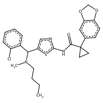 CCCCN(C)C(c1cnc(NC(=O)C2(c3ccc4c(c3)OCO4)CC2)s1)c1ccccc1Cl